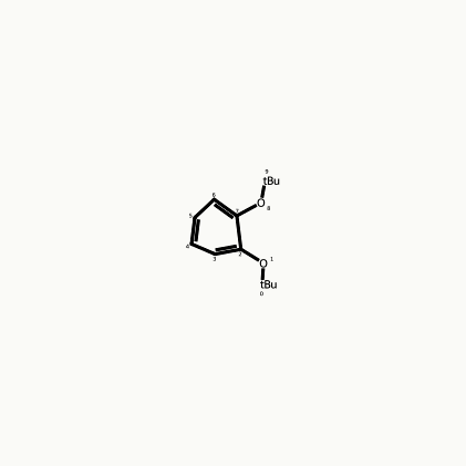 CC(C)(C)Oc1ccccc1OC(C)(C)C